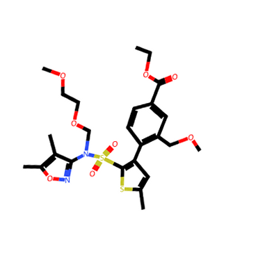 CCOC(=O)c1ccc(-c2cc(C)sc2S(=O)(=O)N(COCCOC)c2noc(C)c2C)c(COC)c1